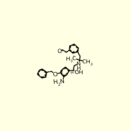 CC(C)(Cc1cccc(CC=O)c1)NC[C@H](O)c1ccc(OCc2ccccc2)c(N)c1